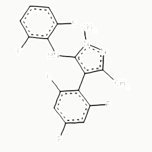 Cc1nn(C)c(Nc2c(F)cccc2F)c1-c1c(F)cc(F)cc1F